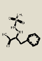 CS(=O)(=O)NNC(Cc1ccccc1)C(=O)O